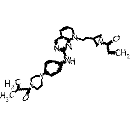 C=CC(=O)N1CC(CCN2CC=Cc3cnc(Nc4ccc(N5CCN(C(=O)C(C)C)CC5)cc4)nc32)C1